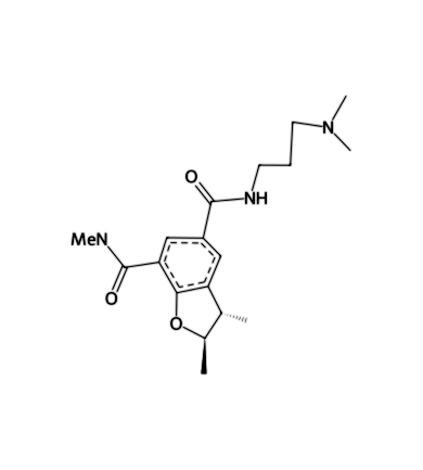 CNC(=O)c1cc(C(=O)NCCCN(C)C)cc2c1O[C@H](C)[C@H]2C